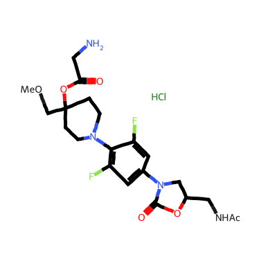 COCC1(OC(=O)CN)CCN(c2c(F)cc(N3CC(CNC(C)=O)OC3=O)cc2F)CC1.Cl